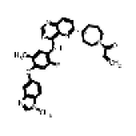 C=CC(=O)N1CCC[C@@H](c2ccc3ncnc(Nc4cc(C)c(Oc5ccc6c(c5)ncn6C)cc4F)c3n2)CC1